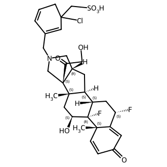 C[C@]12C=CC(=O)C=C1[C@@H](F)C[C@H]1[C@@H]3C[C@H]4CN(CC5=CC(Cl)(CS(=O)(=O)O)CC=C5)C[C@@]4(C(=O)CO)[C@@]3(C)C[C@H](O)[C@@]12F